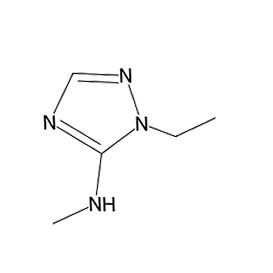 CCn1ncnc1NC